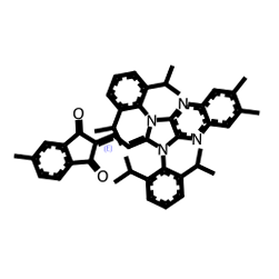 Cc1ccc2c(c1)C(=O)/C(=C/C=C1N(c3c(C(C)C)cccc3C(C)C)c3nc4cc(C)c(C)cc4nc3N1c1c(C(C)C)cccc1C(C)C)C2=O